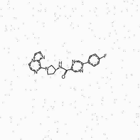 O=C(N[C@H]1CCN(c2nccn3ccnc23)C1)c1cnc(-c2ccc(F)cc2)cn1